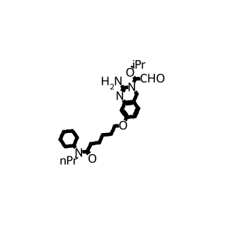 CCCN(C(=O)CCCCCOc1ccc2c(c1)N=C(N)N(C(C=O)OC(C)C)C2)C1CCCCC1